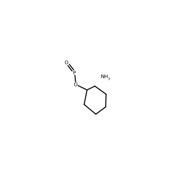 N.O=POC1CCCCC1